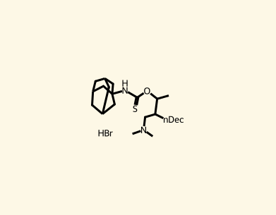 Br.CCCCCCCCCCC(CN(C)C)C(C)OC(=S)NC12CC3CC(CC(C3)C1)C2